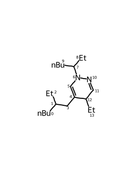 CCCCC(CC)CC1=CN(C(CC)CCCC)N=CC1CC